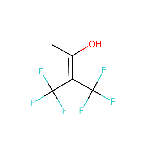 CC(O)=C(C(F)(F)F)C(F)(F)F